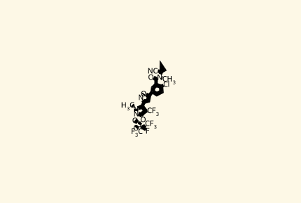 CN(C(=O)c1cc(-c2cc(-c3c(C(F)(F)F)c(OS(=O)(=O)C(F)(C(F)(F)F)C(F)(F)F)nn3C)no2)ccc1Cl)C1(C#N)CC1